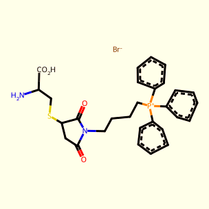 NC(CSC1CC(=O)N(CCCC[P+](c2ccccc2)(c2ccccc2)c2ccccc2)C1=O)C(=O)O.[Br-]